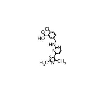 Cc1nc(C)c(-c2ccnc(NCc3ccc(Cl)c(C(=O)O)c3)n2)s1